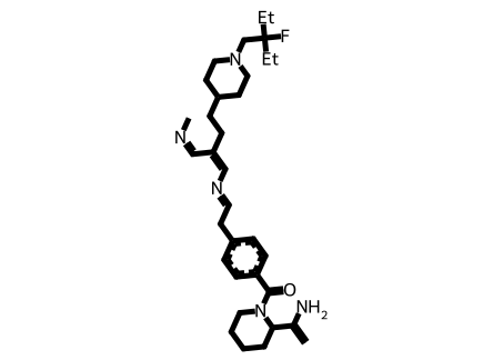 C=C(N)C1CCCCN1C(=O)c1ccc(C/C=N/C=C(\C=N/C)CCC2CCN(CC(F)(CC)CC)CC2)cc1